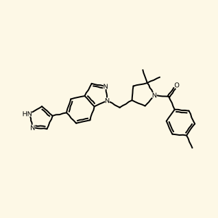 Cc1ccc(C(=O)N2CC(Cn3ncc4cc(-c5cn[nH]c5)ccc43)CC2(C)C)cc1